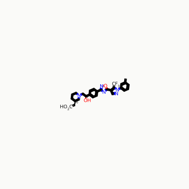 Cc1cccc(-n2ncc(-c3nc(-c4ccc([C@@H](O)CN5CCC[C@H](CC(=O)O)C5)cc4)no3)c2C(F)(F)F)c1